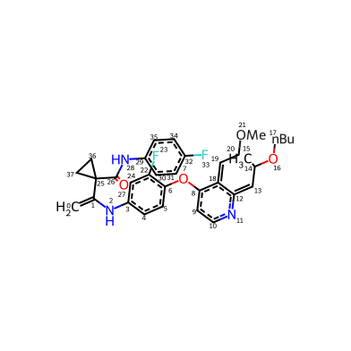 C=C(Nc1ccc(Oc2ccnc(=C/C(C)OCCCC)/c2=C\COC)c(F)c1)C1(C(=O)Nc2ccc(F)cc2)CC1